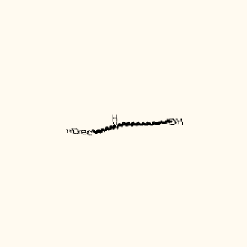 CCCCCCCCCCCCCCCCCCCCNCCCCCCCCCCCCCCCCCCCCO